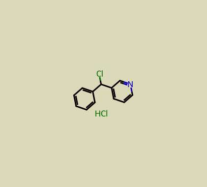 Cl.ClC(c1ccccc1)c1cccnc1